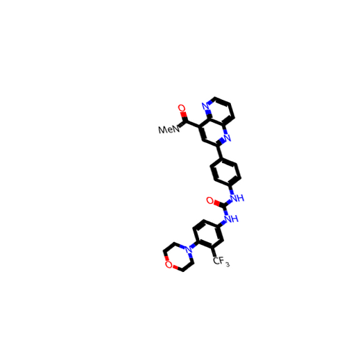 CNC(=O)c1cc(-c2ccc(NC(=O)Nc3ccc(N4CCOCC4)c(C(F)(F)F)c3)cc2)nc2cccnc12